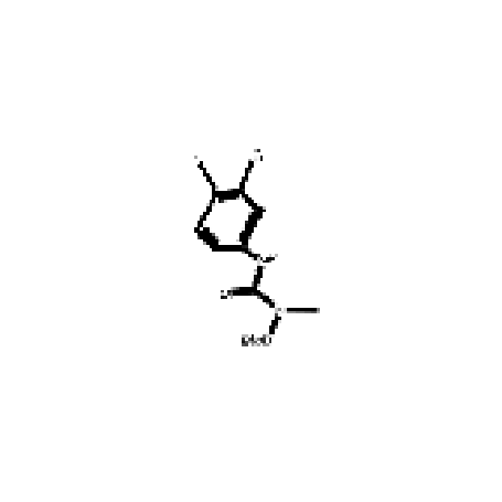 CON(C)C(=O)Nc1ccc(I)c(Cl)c1